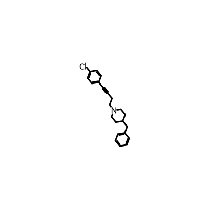 Clc1ccc(C#CCCN2CCC(Cc3ccccc3)CC2)cc1